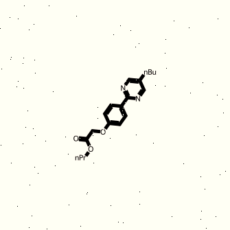 CCCCc1cnc(-c2ccc(OCC(=O)OCCC)cc2)nc1